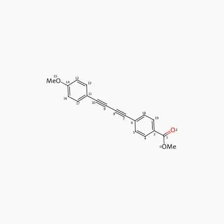 COC(=O)c1ccc(C#CC#Cc2ccc(OC)cc2)cc1